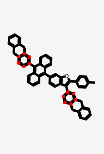 Cc1ccc(-c2oc3cc(-c4c5ccccc5c(-c5ccc6c(c5)C5c7ccccc7C6c6ccccc65)c5ccccc45)ccc3c2-c2ccc3c(c2)C2c4ccccc4C3c3ccccc32)cc1